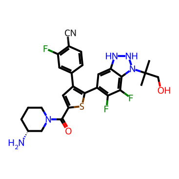 CC(C)(CO)N1NNc2cc(-c3sc(C(=O)N4CCC[C@@H](N)C4)cc3-c3ccc(C#N)c(F)c3)c(F)c(F)c21